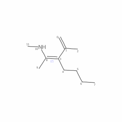 C=C(C)/C(CCCC)=C(/C)NC